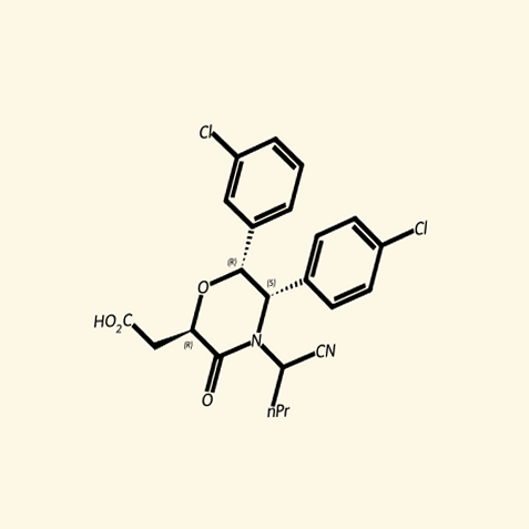 CCCC(C#N)N1C(=O)[C@@H](CC(=O)O)O[C@H](c2cccc(Cl)c2)[C@@H]1c1ccc(Cl)cc1